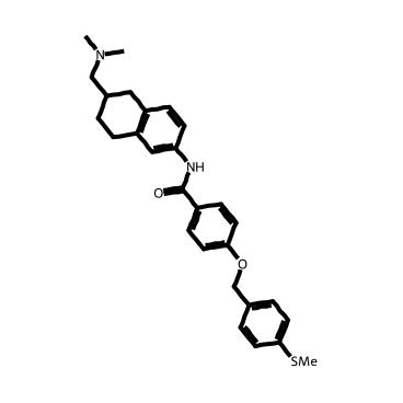 CSc1ccc(COc2ccc(C(=O)Nc3ccc4c(c3)CCC(CN(C)C)C4)cc2)cc1